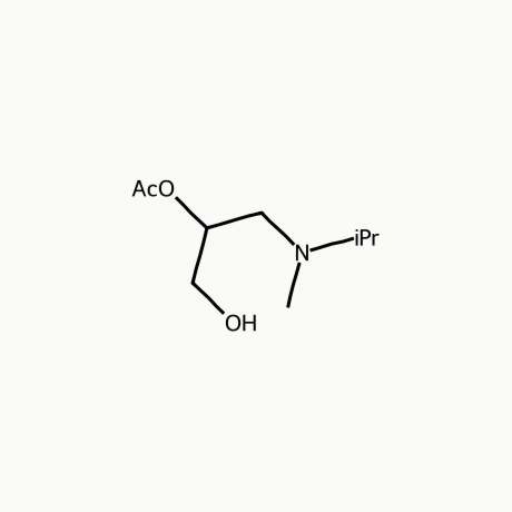 CC(=O)OC(CO)CN(C)C(C)C